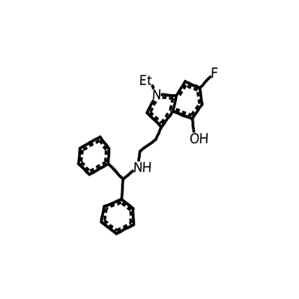 CCn1cc(CCNC(c2ccccc2)c2ccccc2)c2c(O)cc(F)cc21